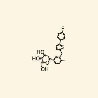 Cc1ccc([C@H]2C[C@@H](O)[C@H](O)[C@@H](CO)O2)cc1Cc1ccc(-c2ccc(F)cc2)s1